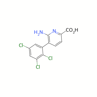 Nc1nc(C(=O)O)ccc1-c1cc(Cl)cc(Cl)c1Cl